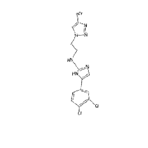 CCCc1cn(CCNc2ncc(-c3ccc(Cl)c(Cl)c3)[nH]2)nn1